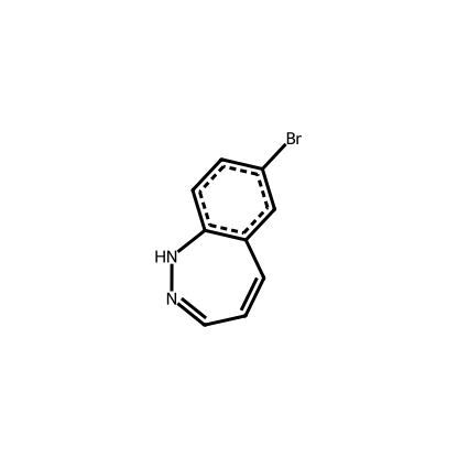 Brc1ccc2c(c1)C=CC=NN2